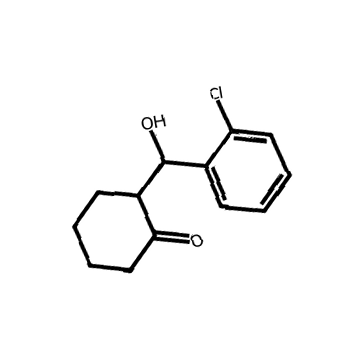 O=C1CCCCC1C(O)c1ccccc1Cl